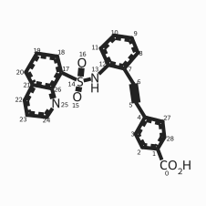 O=C(O)c1ccc(C#Cc2ccccc2NS(=O)(=O)c2cccc3cccnc23)cc1